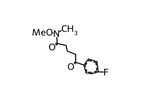 CON(C)C(=O)CCCC(=O)c1ccc(F)cc1